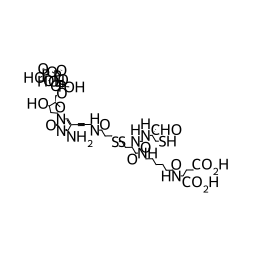 Nc1nc(=O)n([C@H]2C[C@@H](O)[C@@H](COP(=O)(O)OP(=O)(O)OP(=O)(O)O)O2)cc1C#CCNC(=O)CCSSCC(NC(=O)N[C@H](C=O)CS)C(=O)NCCCCCC(=O)NC(CCC(=O)O)C(=O)O